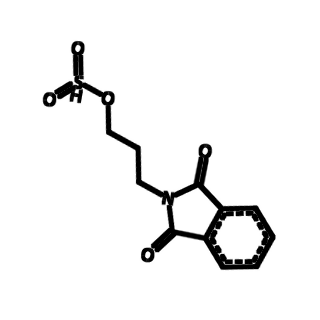 O=C1c2ccccc2C(=O)N1CCCO[SH](=O)=O